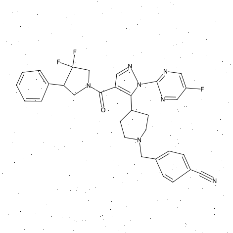 N#Cc1ccc(CN2CCC(c3c(C(=O)N4CC(c5ccccc5)C(F)(F)C4)cnn3-c3ncc(F)cn3)CC2)cc1